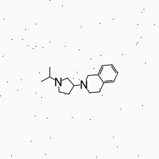 CC(C)N1CCC(N2CCc3ccccc3C2)C1